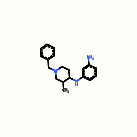 CC1CN(Cc2ccccc2)CCC1Nc1cccc(N)c1